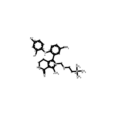 Cc1c2c(c(-c3cc(N)ccc3Oc3ccc(F)cc3F)n1COCC[Si](C)(C)C)CCNC2=O